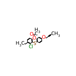 CC#CCOc1ccc(Sc2c(OC(C)=O)ccc(CC)c2Cl)cc1